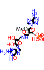 CO[C@@H]1[C@H](CC(=O)NC[C@H]2O[C@@H](n3cnc4c(=O)[nH]c(N)nc43)[C@H](O)[C@@H]2O)[C@@H](COP(=O)(O)O)O[C@H]1n1cnc2c(N)ncnc21